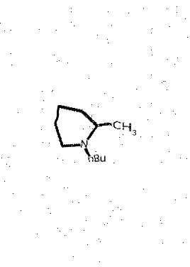 [CH2]CCCN1CCCCC1C